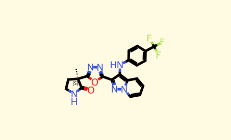 C[C@@]1(c2nnc(-c3nn4ccccc4c3Nc3ccc(C(F)(F)F)cc3)o2)CCNC1=O